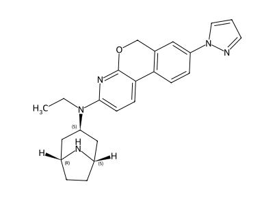 CCN(c1ccc2c(n1)OCc1cc(-n3cccn3)ccc1-2)[C@@H]1C[C@H]2CC[C@@H](C1)N2